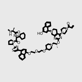 C=CC(=O)N1CCN(c2nc(O[C@H](C)CN3CCC(OCCOCCOc4ccc(-c5csc([C@@H]6CCCN6C(=O)[C@@H](NC(=O)[C@H](C)NC)C6CCCCC6)n5)c5ccccc45)CC3)nc3c2CCN(c2cc(O)cc4ccccc24)C3)CC1